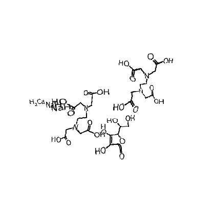 O=C(O)CN(CCN(CC(=O)O)CC(=O)O)CC(=O)O.O=C(O)CN(CCN(CC(=O)O)CC(=O)O)CC(=O)O.O=C1O[C@H]([C@@H](O)CO)C(O)=C1O.[CaH2].[NaH].[NaH]